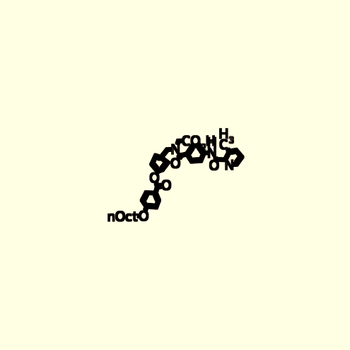 CCCCCCCCOc1ccc(C(=O)Oc2ccc(CN(CC(=O)O)C(=O)c3ccc(NC(=O)c4ncccc4C)cc3)cc2)cc1